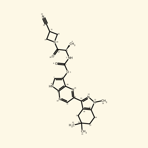 C[C@@H](NC(=O)Oc1c[nH]c2ncc(-c3nn(C)c4c3CC(C)(C)CC4)nc12)C(=O)N1CC(C#N)C1